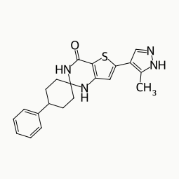 Cc1[nH]ncc1-c1cc2c(s1)C(=O)NC1(CCC(c3ccccc3)CC1)N2